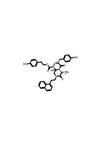 CC[C@H](C)[C@H]1C(=O)N(CCc2cccc3ccccc23)C[C@@H]2N(C(=O)OCCc3ccc(O)cc3)O[C@@H](Cc3ccc(O)cc3)C(=O)N12